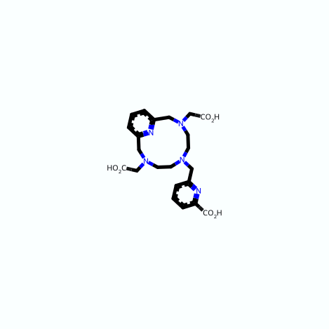 O=C(O)CN1CCN(Cc2cccc(C(=O)O)n2)CCN(CC(=O)O)Cc2cccc(n2)C1